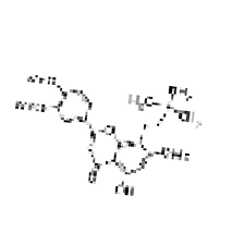 COc1ccc(-c2cc(=O)c3c(O)cc(OC)c(CCC(C)(C)N)c3o2)cc1OC